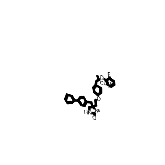 CN1C(=O)NCC1(CCOc1ccc(CC(C)(Oc2ccccc2F)C(=O)O)cc1)Cc1ccc(-c2ccccc2)cc1